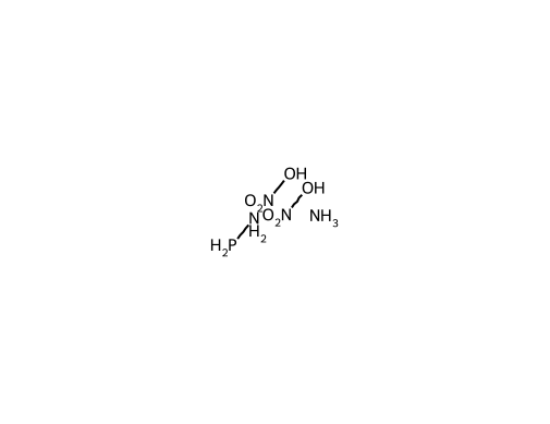 N.NP.O=[N+]([O-])O.O=[N+]([O-])O